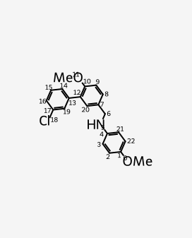 COc1ccc(NCc2ccc(OC)c(-c3cccc(Cl)c3)c2)cc1